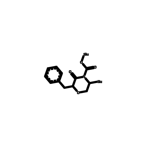 CCC(C)C1COC(Cc2ccccc2)C(=O)N1C(=O)OC(C)(C)C